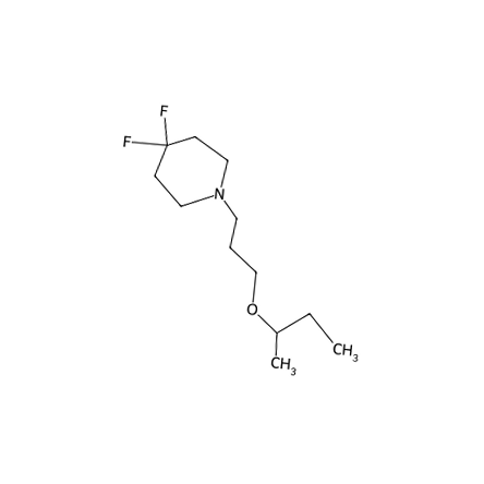 CCC(C)OCCCN1CCC(F)(F)CC1